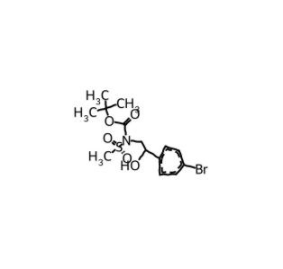 CC(C)(C)OC(=O)N(CC(O)c1ccc(Br)cc1)S(C)(=O)=O